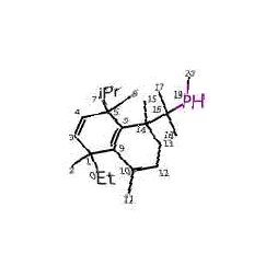 CCC1(C)C=CC(C)(C(C)C)C2=C1C(C)CCC2(C)C(C)(C)PC